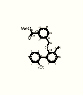 CCc1ccccc1-c1cccc(C(C)C)c1OCc1cccc(C(=O)OC)c1